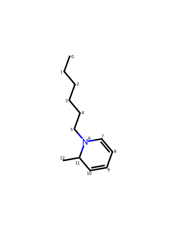 CCCCCCN1C=CC=CC1C